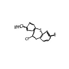 COc1ccc2c(c1)C(Cl)Cc1ccc(F)cc1S2